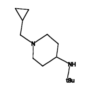 CC(C)(C)NC1CCN(CC2CC2)CC1